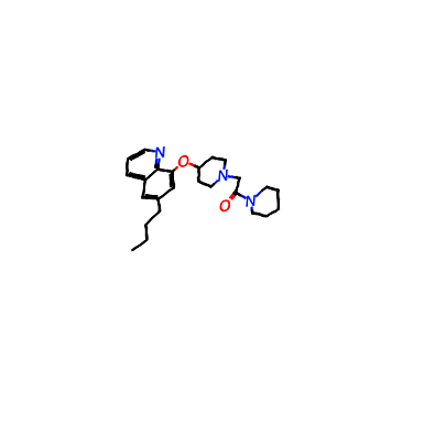 CCCCc1cc(OC2CCN(CC(=O)N3CCCCC3)CC2)c2ncccc2c1